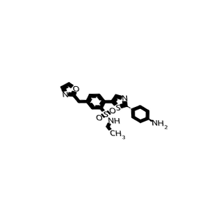 CCNS(=O)(=O)c1cc(Cc2ncco2)ccc1-c1cnc([C@H]2CC[C@H](N)CC2)s1